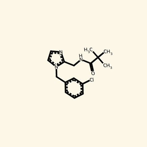 CC(C)(C)C(=O)NCc1nccn1Cc1cccc(Cl)c1